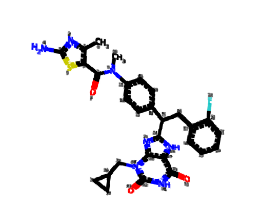 Cc1nc(N)sc1C(=O)N(C)c1ccc(C(Cc2ccccc2F)c2nc3c([nH]2)c(=O)[nH]c(=O)n3CC2CC2)cc1